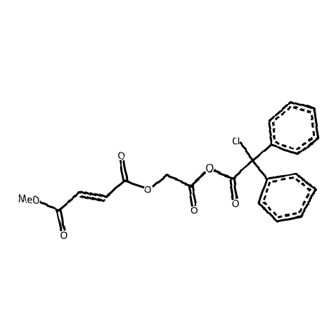 COC(=O)C=CC(=O)OCC(=O)OC(=O)C(Cl)(c1ccccc1)c1ccccc1